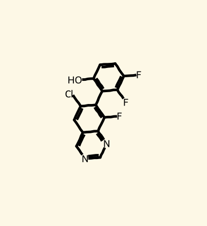 Oc1ccc(F)c(F)c1-c1c(Cl)cc2cncnc2c1F